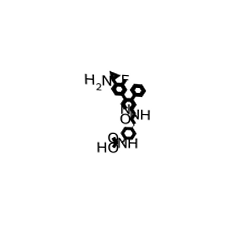 NC1(c2ccc(-c3cnc(NC(=O)C[C@H]4CC[C@H](NC(=O)O)CC4)cc3-c3ccccc3)cc2F)CC1